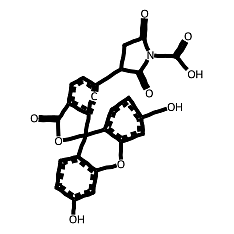 O=C1OC2(c3ccc(O)cc3Oc3cc(O)ccc32)c2cc(C3CC(=O)N(C(=O)O)C3=O)ccc21